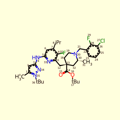 Cc1cc(Nc2cc(C(C)C)c(F)c(C[C@@]3(C(=O)OC(C)(C)C)CCN(Cc4cccc(Cl)c4F)[C@H](C)C3)n2)nn1C(C)(C)C